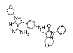 Nc1ncnc2c1c(-c1ccc(NCc3c4n(n(-c5ccccc5)c3=O)CCOC4)cc1)cn2C1CCOC1